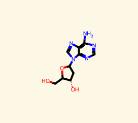 Nc1ncnc2c1ncn2C1C[C@H](O)C(CO)O1